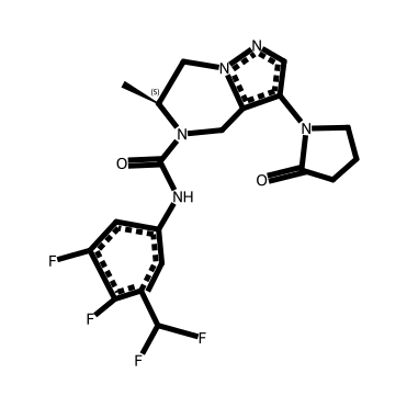 C[C@H]1Cn2ncc(N3CCCC3=O)c2CN1C(=O)Nc1cc(F)c(F)c(C(F)F)c1